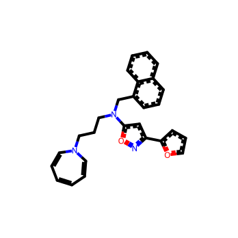 C1=CC=CN(CCCN(Cc2cccc3ccccc23)c2cc(-c3ccco3)no2)C=C1